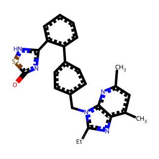 CCc1nc2c(C)cc(C)nc2n1Cc1ccc(-c2ccccc2-c2nc(=O)s[nH]2)cc1